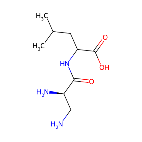 CC(C)CC(NC(=O)[C@H](N)CN)C(=O)O